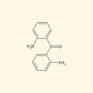 Cc1ccccc1C(=O)c1ccccc1N